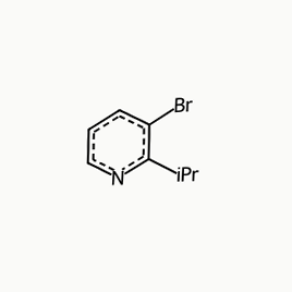 CC(C)c1ncccc1Br